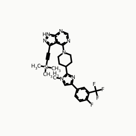 Cn1cc(-c2ccc(F)c(C(F)(F)F)c2)nc1C1CCN(c2ncnc3[nH]nc(C#C[Si](C)(C)C)c23)CC1